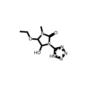 CCOC1C(O)N(c2nnn[nH]2)C(=O)N1C